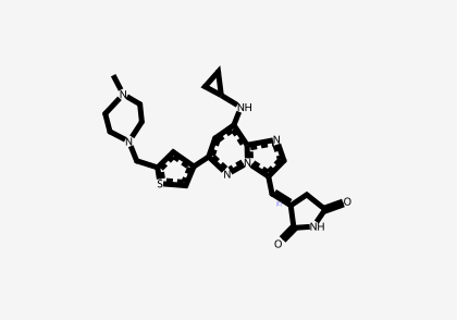 CN1CCN(Cc2cc(-c3cc(NC4CC4)c4ncc(/C=C5\CC(=O)NC5=O)n4n3)cs2)CC1